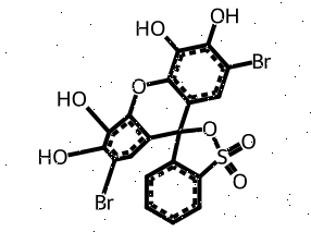 O=S1(=O)OC2(c3ccccc31)c1cc(Br)c(O)c(O)c1Oc1c2cc(Br)c(O)c1O